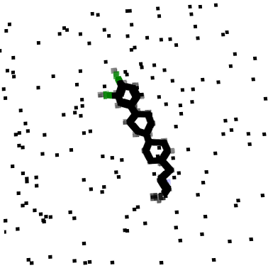 C/C=C/CC1CCC(C2CCC(c3ccc(F)c(F)c3)CC2)CC1